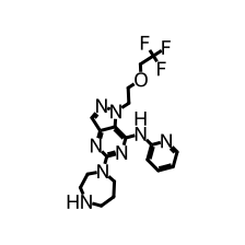 FC(F)(F)COCCn1ncc2nc(N3CCCNCC3)nc(Nc3ccccn3)c21